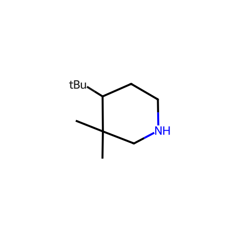 CC(C)(C)C1CCNCC1(C)C